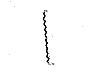 CCCCCCCCCCCCCCCCCCCCCCCCCCCCCO